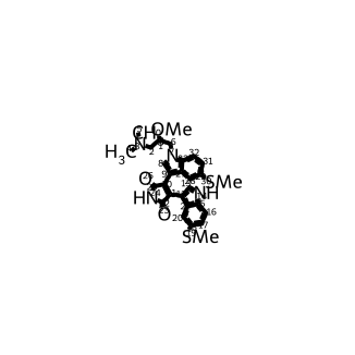 COC(CN(C)C)Cn1cc(C2=C(c3c[nH]c4ccc(SC)cc34)C(=O)NC2=O)c2cc(SC)ccc21